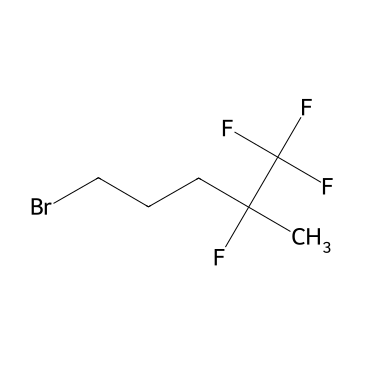 CC(F)(CCCBr)C(F)(F)F